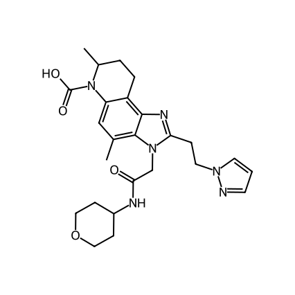 Cc1cc2c(c3nc(CCn4cccn4)n(CC(=O)NC4CCOCC4)c13)CCC(C)N2C(=O)O